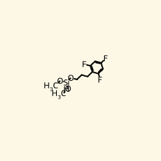 CO[SiH](OC)OCCCc1c(F)cc(F)cc1F